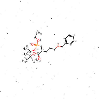 CCOP(=O)(CC(CCCOCc1ccccc1)C(=O)OC(C)(C)C)OCC